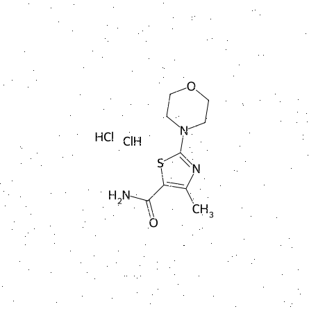 Cc1nc(N2CCOCC2)sc1C(N)=O.Cl.Cl